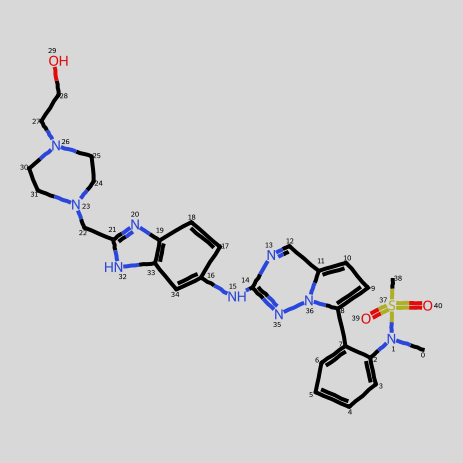 CN(c1ccccc1-c1ccc2cnc(Nc3ccc4nc(CN5CCN(CCO)CC5)[nH]c4c3)nn12)S(C)(=O)=O